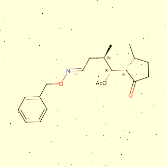 CC(=O)O[C@H]([C@H](C)C/C=N/OCc1ccccc1)[C@H]1C(=O)CCC1C